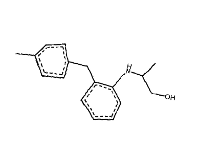 Cc1ccc(Cc2ccccc2NC(C)CO)cc1